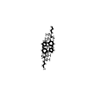 CCCCNC(=S)Nc1ccc(F)[c]([Ti]([c]2c(F)ccc(NC(=S)NCCCC)c2F)([CH]2C=CC=C2)[CH]2C=CC=C2)c1F